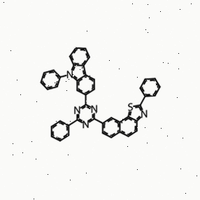 c1ccc(-c2nc(-c3ccc4ccc5nc(-c6ccccc6)sc5c4c3)nc(-c3ccc4c5ccccc5n(-c5ccccc5)c4c3)n2)cc1